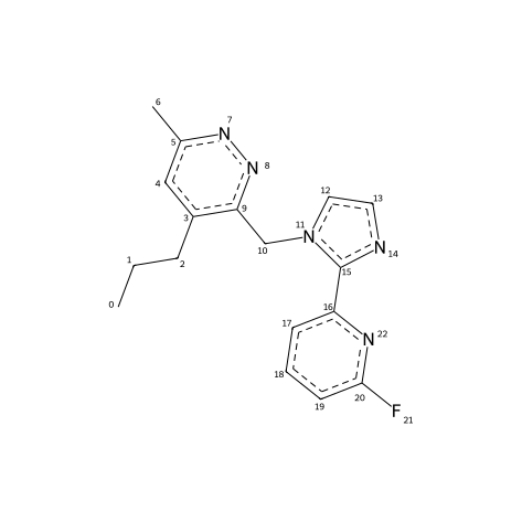 CCCc1cc(C)nnc1Cn1ccnc1-c1cccc(F)n1